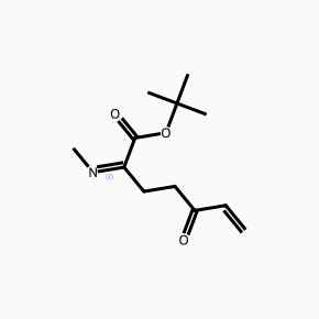 C=CC(=O)CC/C(=N/C)C(=O)OC(C)(C)C